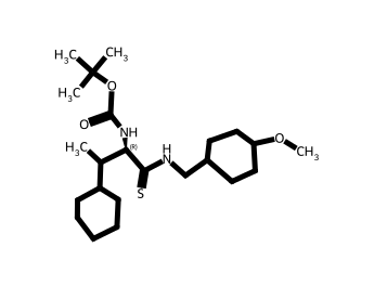 COC1CCC(CNC(=S)[C@H](NC(=O)OC(C)(C)C)C(C)C2CCCCC2)CC1